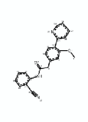 COc1cc(CC(=O)Nc2ccccc2C#N)ccc1-c1ccccn1